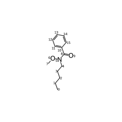 CCCCCN(OC)C(=O)c1ccccc1